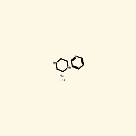 C1CNCCN1.Cl.Cl.c1ccncc1